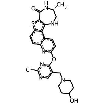 C[C@@H]1CNc2c(sc3ccc4nc(Oc5nc(Cl)ncc5CN5CCC(O)CC5)ccc4c23)C(=O)N1